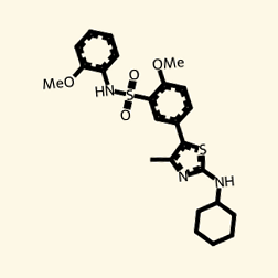 COc1ccccc1NS(=O)(=O)c1cc(-c2sc(NC3CCCCC3)nc2C)ccc1OC